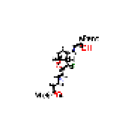 CCCCC[C@H](O)/C=C/[C@H]1CC[C@H]2O[C@H](/C=C/CCC(=O)OC)C(F)[C@H]12